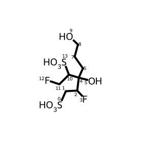 O=S(=O)(O)CC(F)C(O)(CCCO)C(CF)S(=O)(=O)O